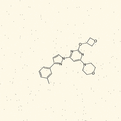 Cc1cccc(-c2ccn(-c3cc(N4CCOCC4)nc(OC4COC4)n3)n2)c1